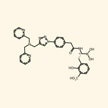 O=C(Cc1ccc(-n2cc(CN(Cc3ccccn3)Cc3ccccn3)nn2)cc1)N[C@@H](Cc1cccc(C(=O)O)c1O)B(O)O